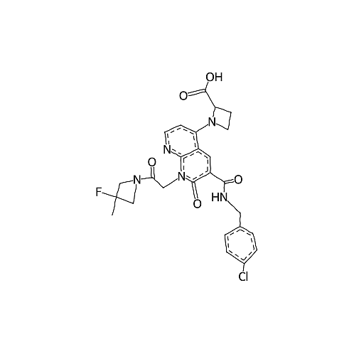 CC1(F)CN(C(=O)Cn2c(=O)c(C(=O)NCc3ccc(Cl)cc3)cc3c(N4CCC4C(=O)O)ccnc32)C1